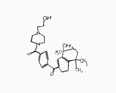 CC1(C)CCC(C)(C)c2cc(C(=O)c3ccc(C(=O)N4CCN(CCO)CC4)cc3)ccc21